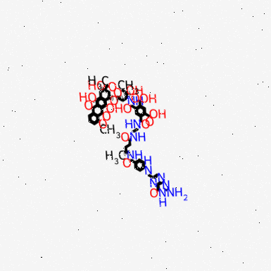 COc1cccc2c1C(=O)c1c(O)c3c(c(O)c1C2=O)C[C@@](O)(C(C)=O)C[C@@H]3O[C@H]1CC(NC(=O)c2cc(C(=O)NCCNC(=O)CC[C@@H](C)NC(=O)c3ccc(NCc4cnc5nc(N)[nH]c(=O)c5n4)cc3)c(C(=O)O)cc2C(=O)O)[C@H](O)C(C)O1